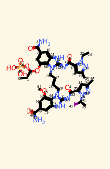 CCC(Oc1cc(C(N)=O)cc2[nH]c(=NC(=O)c3cc(C)nn3CC)n(C/C=C/Cn3/c(=N\C(=O)c4cc(C)nn4C(C)I)[nH]c4cc(C(N)=O)cc(OC)c43)c12)OP(=O)(O)O